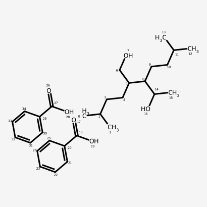 CC(C)CCC(CO)C(CCC(C)C)C(C)O.O=C(O)c1ccccc1.O=C(O)c1ccccc1